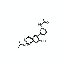 CC(=O)Nc1cccc(-c2cc3cnc(NC(C)C)nc3cc2O)c1